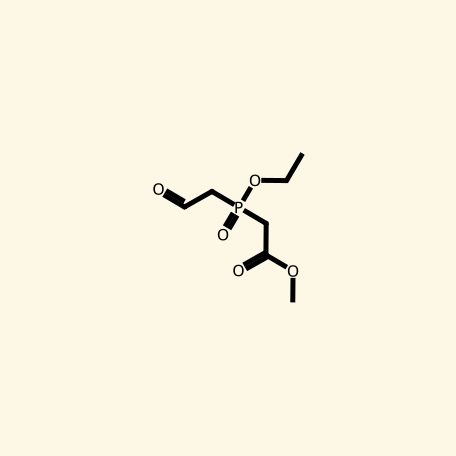 CCOP(=O)(CC=O)CC(=O)OC